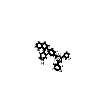 C1=CC(c2c(-c3ccc(-c4nc(-c5ccccc5)nc(-c5ccccc5)n4)cc3)ccc3ccccc23)=CCN1